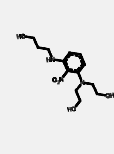 O=[N+]([O-])c1c(NCCCO)cccc1N(CCO)CCO